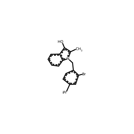 Cc1c(O)c2ccccc2n1Cc1ccc(C(C)C)cc1Br